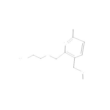 COCCOCc1nc(C(F)(F)F)ccc1CNC(=O)O